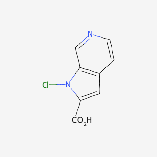 O=C(O)c1cc2ccncc2n1Cl